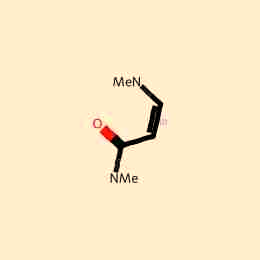 CN/C=C\C(=O)NC